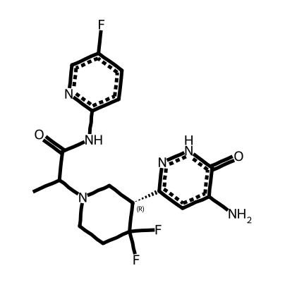 CC(C(=O)Nc1ccc(F)cn1)N1CCC(F)(F)[C@@H](c2cc(N)c(=O)[nH]n2)C1